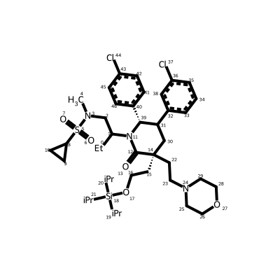 CCC(CN(C)S(=O)(=O)C1CC1)N1C(=O)[C@](CCO[Si](C(C)C)(C(C)C)C(C)C)(CCN2CCOCC2)CC(c2cccc(Cl)c2)[C@H]1c1ccc(Cl)cc1